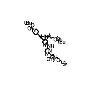 C[C@@H](CCO[Si](C)(C)C(C)(C)C)Nc1cc(Nc2ccnc(-c3cn(COCC[Si](C)(C)C)n(C)c3=O)n2)ncc1C#CC1CCN(C(=O)OC(C)(C)C)CC1